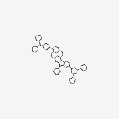 c1ccc(-c2cc(-c3ccccc3)cc(-c3ccc4c5c6ccc7ccc(-c8ccc(N(c9ccccc9)c9ccccc9)cc8)c8ccc(cc5n(-c5ccccc5)c4c3)c6c78)c2)cc1